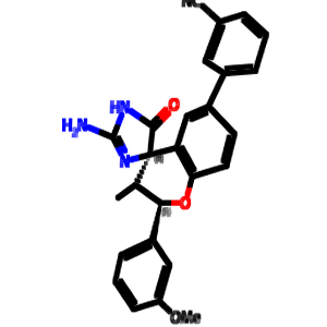 COc1cccc([C@@H]2Oc3ccc(-c4cccc(C#N)c4)cc3[C@]3(N=C(N)NC3=O)C2C)c1